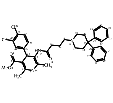 COC(=O)C1=C(C)NC(C)=C(NC(=O)CCCN2CCC(c3ccccc3)(c3ccccc3)CC2)C1c1ccc(Cl)c(Cl)c1